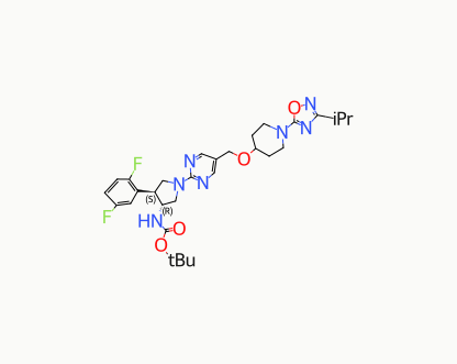 CC(C)c1noc(N2CCC(OCc3cnc(N4C[C@H](NC(=O)OC(C)(C)C)[C@@H](c5cc(F)ccc5F)C4)nc3)CC2)n1